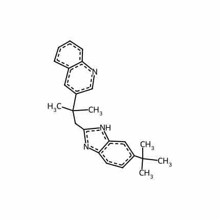 CC(C)(C)c1ccc2nc(CC(C)(C)c3cnc4ccccc4c3)[nH]c2c1